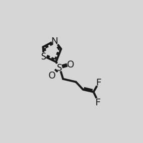 O=S(=O)(CCC=C(F)F)c1cncs1